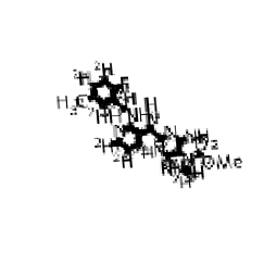 [2H]c1nc(NC([2H])([2H])c2c([2H])c(C)c([2H])c([2H])c2F)c(C(=N)c2nc(N)c(N(C(=O)OC)C([2H])([2H])[2H])c(N)n2)c([2H])c1[2H]